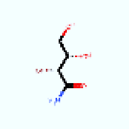 NC(=O)[C@H](Br)[C@@H](O)CO